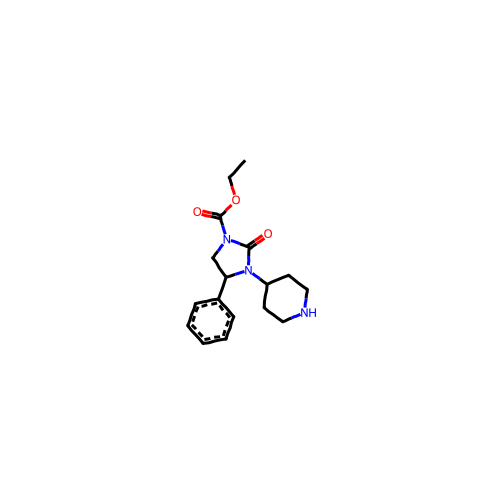 CCOC(=O)N1CC(c2ccccc2)N(C2CCNCC2)C1=O